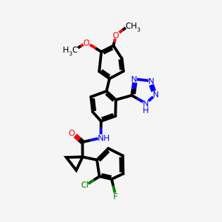 COc1ccc(-c2ccc(NC(=O)C3(c4cccc(F)c4Cl)CC3)cc2-c2nnn[nH]2)cc1OC